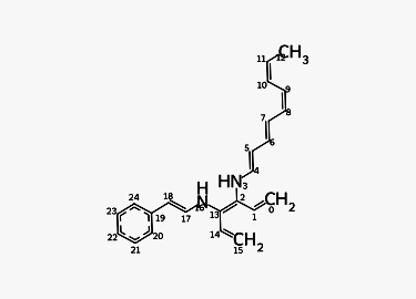 C=C/C(N/C=C/C=C/C=C\C=C/C)=C(\C=C)N/C=C/c1ccccc1